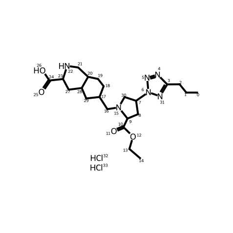 CCCc1nnn(C2CC(C(=O)OCC)N(CC3CCC4CNC(C(=O)O)CC4C3)C2)n1.Cl.Cl